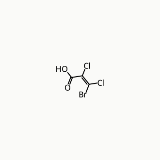 O=C(O)C(Cl)=C(Cl)Br